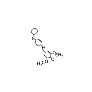 COC1=CC(=CN=C2C=CC(=Nc3ccccc3)C=C2)C=C(OC)C1=O